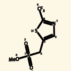 COS(=O)(=O)Cc1cnc(C(F)(F)F)s1